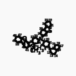 C[Si]1(C)c2cc(N(c3ccc(-c4cccc5ccccc45)cc3)c3ccc4c(c3)sc3ccccc34)ccc2-c2c1ccc1c2oc2ccccc21